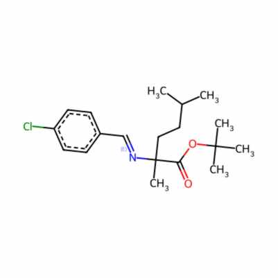 CC(C)CCC(C)(/N=C/c1ccc(Cl)cc1)C(=O)OC(C)(C)C